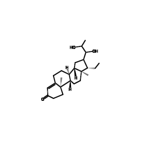 CC[C@H]1C(C(O)C(C)O)C[C@H]2[C@@H]3CCC4=CC(=O)CC[C@]4(C)[C@H]3CC[C@]12C